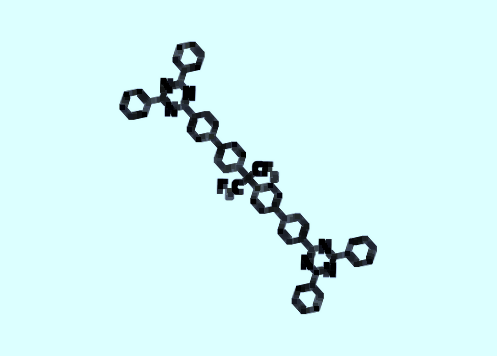 FC(F)(F)C(c1ccc(-c2ccc(-c3nc(-c4ccccc4)nc(-c4ccccc4)n3)cc2)cc1)(c1ccc(-c2ccc(-c3nc(-c4ccccc4)nc(-c4ccccc4)n3)cc2)cc1)C(F)(F)F